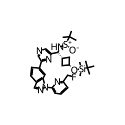 CC(C)(C)[S@@+]([O-])NC(c1cncc(-c2ccc3cnn(-c4cccc(CF)n4)c3c2)n1)[C@H]1C[C@@H](O[Si](C)(C)C(C)(C)C)C1